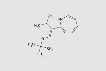 CC(C)C(=COC(C)(C)C)C1=CC=CC=CN1